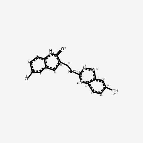 O=c1[nH]c2ccc(Cl)cc2cc1CNc1nnc2cc(O)ccc2n1